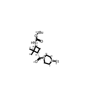 CCN1CCN(C(=O)[C@H]2C[C@@H](NC(=O)OC(C)(C)C)C2(C)C)CC1